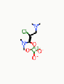 CN(C)CC(Cl)=C(O[Cl+3]([O-])([O-])[O-])N(C)C